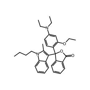 CCCCn1c(C)c(C2(c3ccc(N(CC)CC)cc3OCC)OC(=O)c3ccccc32)c2ccccc21